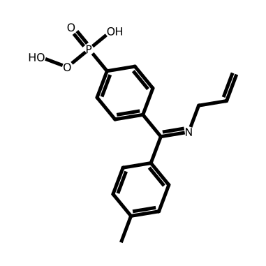 C=CC/N=C(/c1ccc(C)cc1)c1ccc(P(=O)(O)OO)cc1